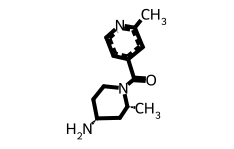 Cc1cc(C(=O)N2CC[C@@H](N)C[C@H]2C)ccn1